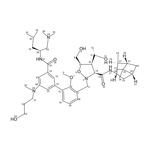 COc1c(CN2O[C@@H](CO)[C@@H]([C@H](C)O)[C@H]2C(=O)N[C@H]2C[C@H]3C[C@@H]([C@@H]2C)C3(C)C)cccc1-c1cc(C(=O)N[C@@H](CC(C)C)CN(C)C)cc(N(C)CCCO)c1